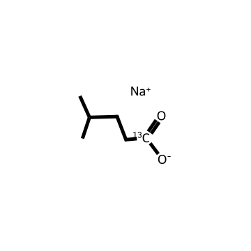 CC(C)CC[13C](=O)[O-].[Na+]